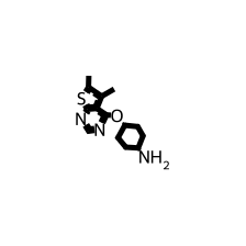 Cc1sc2ncnc(O[C@H]3CC[C@H](N)CC3)c2c1C